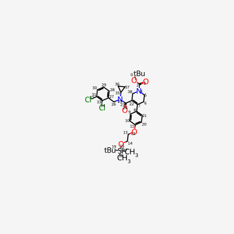 CC(C)(C)OC(=O)N1CCC(c2ccc(OCCO[Si](C)(C)C(C)(C)C)cc2)=C(C(=O)N(Cc2cccc(Cl)c2Cl)C2CC2)C1